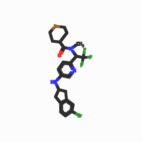 CN(C(=O)C1CCSCC1)C(c1ccc(NC2Cc3ccc(Br)cc3C2)cn1)C(F)(F)F